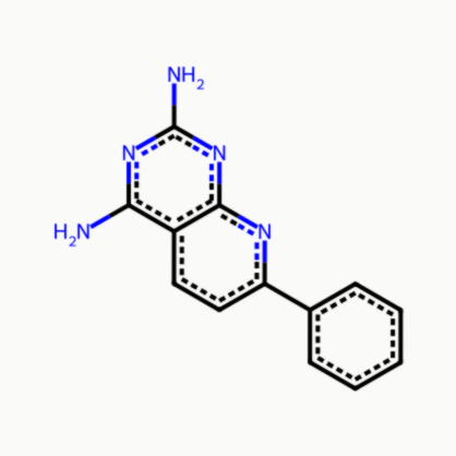 Nc1nc(N)c2ccc(-c3ccccc3)nc2n1